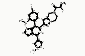 C=C(F)C(=O)N1CCn2nc(-c3nc(-c4cnn(C)c4)c4ccsc4c3-c3ccc(F)cc3OC(C)C)cc2C1